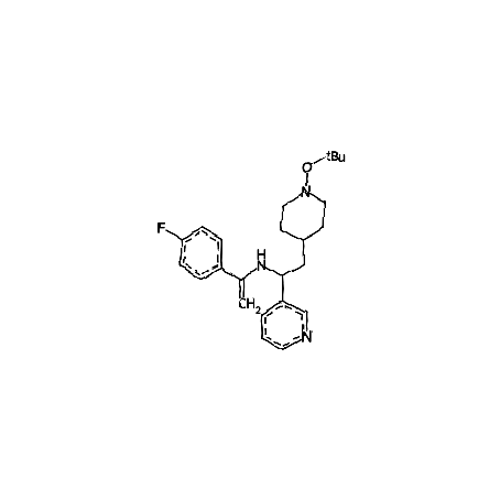 C=C(NC(CC1CCN(OC(C)(C)C)CC1)c1cccnc1)c1ccc(F)cc1